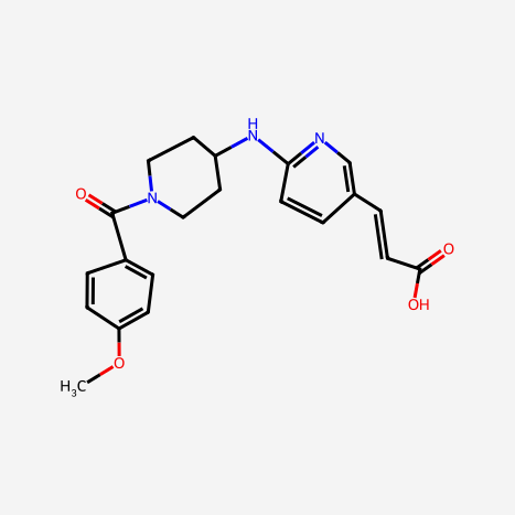 COc1ccc(C(=O)N2CCC(Nc3ccc(C=CC(=O)O)cn3)CC2)cc1